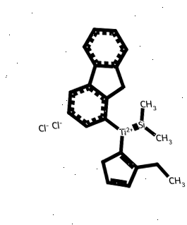 CCC1=[C]([Ti+2]([c]2cccc3c2Cc2ccccc2-3)=[Si](C)C)CC=C1.[Cl-].[Cl-]